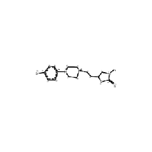 CN1CC(CCN2CCN(c3ccc(Br)cc3)CC2)OC1=O